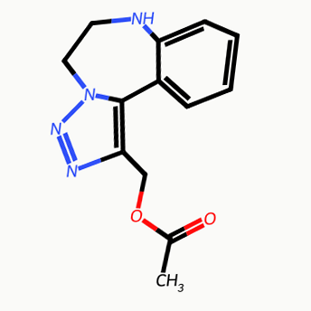 CC(=O)OCc1nnn2c1-c1ccccc1NCC2